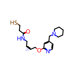 O=C(CCS)NC/C=C\COc1cc(CN2CCCCC2)ccn1